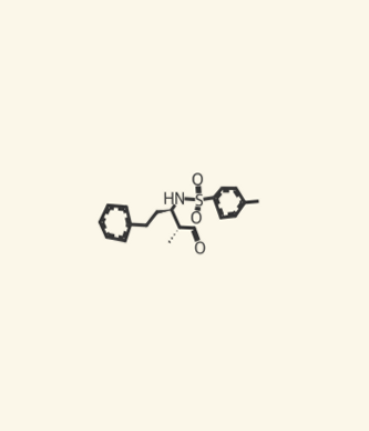 Cc1ccc(S(=O)(=O)N[C@H](CCc2ccccc2)[C@@H](C)C=O)cc1